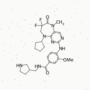 COc1cc(C(=O)NCC2CCNC2)ccc1Nc1ncc2c(n1)N(C1CCCC1)CC(F)(F)C(=O)N2C